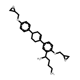 CCCCC(C)c1cc(C2=CCC(c3ccc(OCC4CO4)cc3)CC2)ccc1OCC1CO1